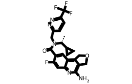 C[C@H](C1CC1)N(Cc1ccc(C(F)(F)F)nn1)C(=O)c1cc2c3c(c(N)nc2cc1F)COC3